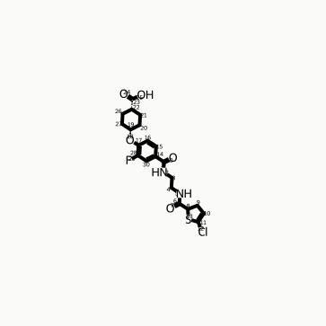 O=C(NCCNC(=O)C1CC=C(Cl)S1)c1ccc(O[C@H]2CC[C@@H](C(=O)O)CC2)c(F)c1